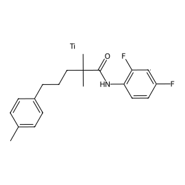 Cc1ccc(CCCC(C)(C)C(=O)Nc2ccc(F)[c]c2F)cc1.[Ti]